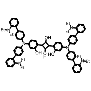 CCN(CC)c1ccccc1-c1ccc(N(c2ccc(-c3ccccc3N(CC)CC)cc2)c2ccc(C3C(O)C(c4ccc(N(c5ccc(-c6ccccc6N(CC)CC)cc5)c5ccc(-c6ccccc6N(CC)CC)cc5)cc4O)C3O)c(O)c2)cc1